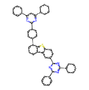 c1ccc(-c2cc(-c3ccccc3)nc(-c3ccc(-c4cccc5c4sc4ccc(-c6nc(-c7ccccc7)nc(-c7ccccc7)n6)cc45)cc3)n2)cc1